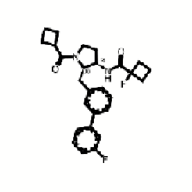 O=C(C1CCC1)N1CC[C@@H](NC(=O)C2(F)CCC2)[C@H]1Cc1cccc(-c2cccc(F)c2)c1